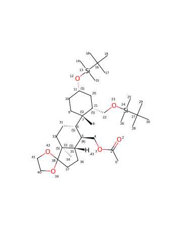 CC(=O)OC[C@@H]1[C@@H]([C@]2(C)CC[C@H](O[Si](C)(C)C(C)(C)C)C[C@@H]2CO[Si](C)(C)C(C)(C)C)CC[C@@]2(C)[C@H]1CCC21OCCO1